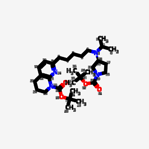 CC(C)N(CCCCCc1ccc2c(n1)N(C(=O)OC(C)(C)C)CCC2)[C@@H]1CCN(C(=O)OC(C)(C)C)C1